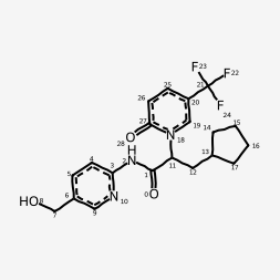 O=C(Nc1ccc(CO)cn1)C(CC1CCCC1)n1cc(C(F)(F)F)ccc1=O